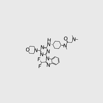 CN(C)CC(=O)N(C)[C@H]1CC[C@H](Nc2nc(N3CCOCC3)nc(-n3c(C(F)F)nc4ccccc43)n2)CC1